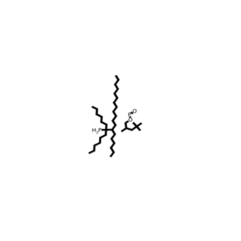 CC(COP=O)CC(C)(C)C.CCCCCCCCCCCCC(CCCCCC)C(P)(CCCCCC)CCCCCC